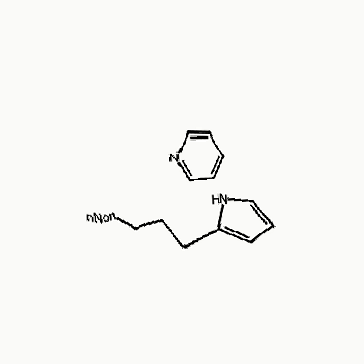 CCCCCCCCCCCCc1ccc[nH]1.c1ccncc1